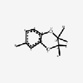 Cc1ccc2c(c1)OC(C)(C)C(C)(C)O2